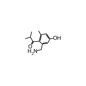 Cc1cc(O)cc(CN)c1C(=O)C(C)C